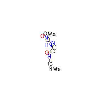 CNc1ccc(C2CN(C(=O)c3ccc(C)c(-c4[nH]c(C5CCN(C(=O)OC)CC5)nc4C)c3)C2)cc1